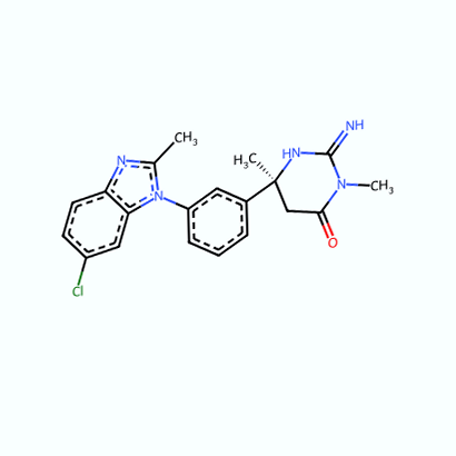 Cc1nc2ccc(Cl)cc2n1-c1cccc([C@]2(C)CC(=O)N(C)C(=N)N2)c1